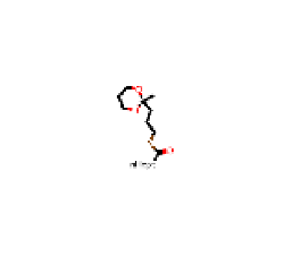 CCCCCCCC(=O)SCCC[Si]1(C)OCCCO1